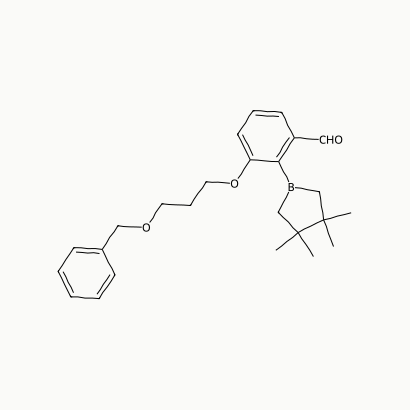 CC1(C)CB(c2c(C=O)cccc2OCCCOCc2ccccc2)CC1(C)C